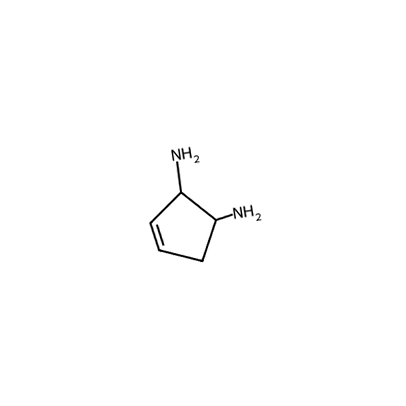 NC1C=CCC1N